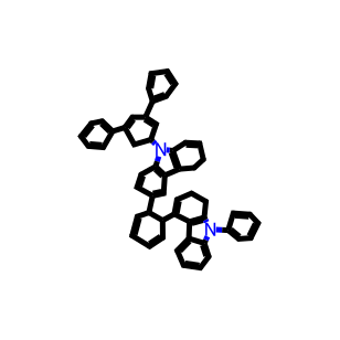 C1=CC(C2=CCCc3c2c2ccccc2n3-c2ccccc2)C(c2ccc3c(c2)c2c(n3C3C=C(c4ccccc4)C=C(c4ccccc4)C3)C=CCC2)C=C1